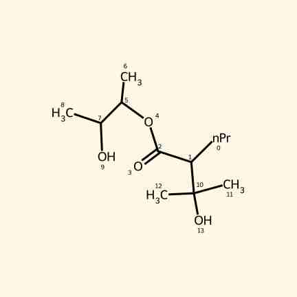 CCCC(C(=O)OC(C)C(C)O)C(C)(C)O